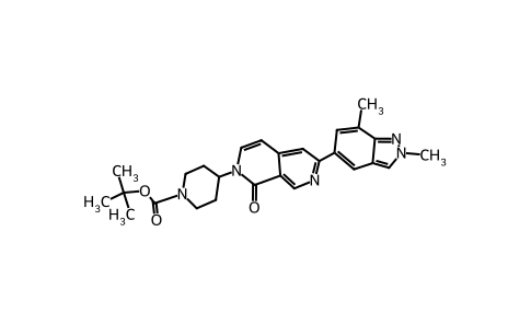 Cc1cc(-c2cc3ccn(C4CCN(C(=O)OC(C)(C)C)CC4)c(=O)c3cn2)cc2cn(C)nc12